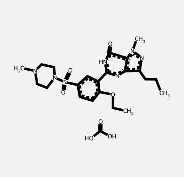 CCCc1nn(C)c2c(=O)[nH]c(-c3cc(S(=O)(=O)N4CCN(C)CC4)ccc3OCC)nc12.O=C(O)O